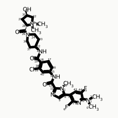 CN(C)c1nc(F)c(-c2cnc(C(=O)Nc3ccc(C(=O)NC4CCN(C(=O)[C@@H]5C[C@@H](O)C[N+]5(C)C)CC4)c(Cl)c3)n2C)cc1F